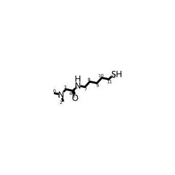 CN(C)CC(=O)NCCCCCS